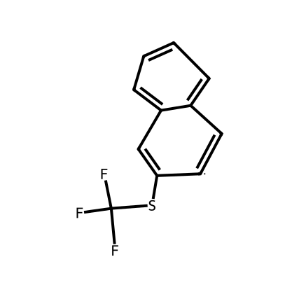 FC(F)(F)Sc1[c]cc2ccccc2c1